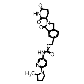 CC1CCCN1c1ccc(NC(=O)OCc2ccc3c(c2)C(=O)N(C2CCC(=O)NC2=O)C3)cn1